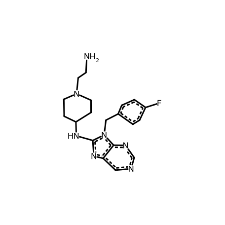 NCCN1CCC(Nc2nc3cncnc3n2Cc2ccc(F)cc2)CC1